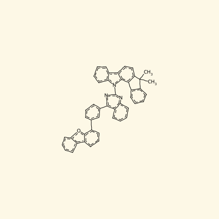 CC1(C)c2ccccc2-c2c1ccc1c3ccccc3n(-c3nc(-c4cccc(-c5cccc6c5oc5ccccc56)c4)c4ccccc4n3)c21